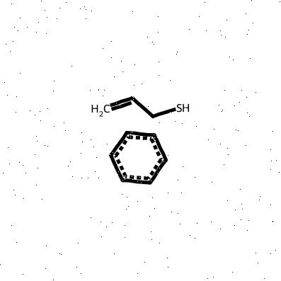 C=CCS.c1ccccc1